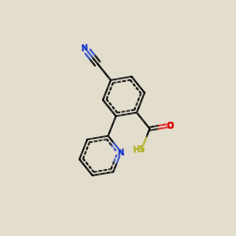 N#Cc1ccc(C(=O)S)c(-c2ccccn2)c1